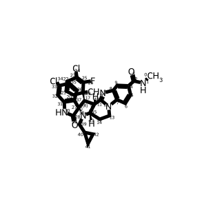 CNC(=O)c1ccc2c(c1)nc1n2CC[C@H]2[C@@H]1[C@H](C1(C)CC=CC(Cl)=C1F)[C@]1(C(=O)Nc3cc(Cl)ccc31)N2CC1CC1